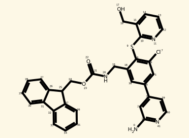 Nc1cc(-c2cc(Cl)c(Sc3ncccc3CO)c(CNC(=O)OCC3c4ccccc4-c4ccccc43)c2)ccn1